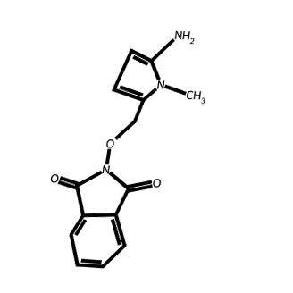 Cn1c(N)ccc1CON1C(=O)c2ccccc2C1=O